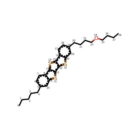 CCCCCc1ccc2c(c1)sc1c2sc2c3ccc(CCCCOCCCC)cc3sc21